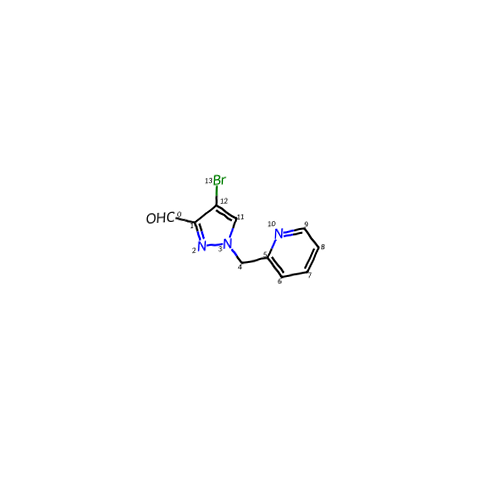 O=Cc1nn(Cc2ccccn2)cc1Br